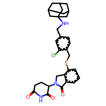 O=C1CCC(N2Cc3c(SCc4ccc(CNC56CC7CC(CC(C7)C5)C6)cc4Cl)cccc3C2=O)C(=O)N1